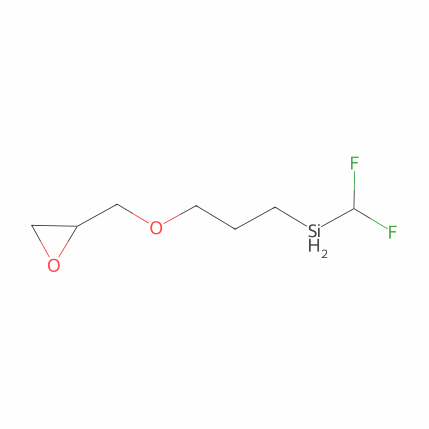 FC(F)[SiH2]CCCOCC1CO1